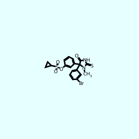 CN1C(=S)NC(=O)C1(c1cccc(Br)c1)c1cccc(OS(=O)(=O)C2CC2)c1